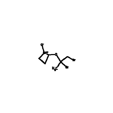 CC(Br)(CBr)OC1CC[NH+]1[O-]